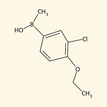 CCOc1ccc(B(C)O)cc1Cl